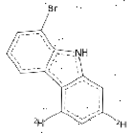 [2H]c1cc([2H])c2c(c1)[nH]c1c(Br)cccc12